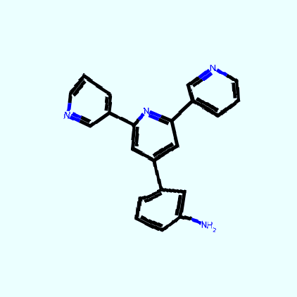 Nc1cccc(-c2cc(-c3cccnc3)nc(-c3cccnc3)c2)c1